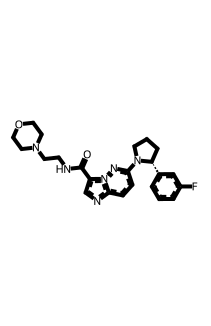 O=C(NCCN1CCOCC1)c1cnc2ccc(N3CCC[C@@H]3c3cccc(F)c3)nn12